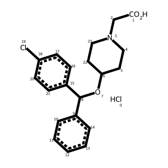 Cl.O=C(O)CN1CCC(OC(c2ccccc2)c2ccc(Cl)cc2)CC1